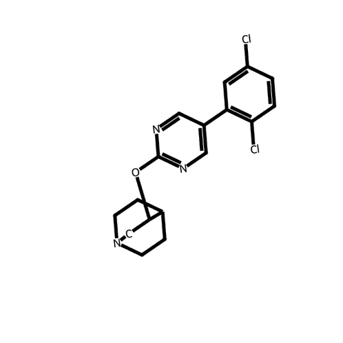 Clc1ccc(Cl)c(-c2cnc(OC3CN4CCC3CC4)nc2)c1